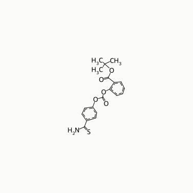 CC(C)(C)OC(=O)c1ccccc1OC(=O)Oc1ccc(C(N)=S)cc1